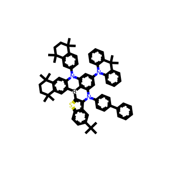 CC(C)(C)c1ccc2sc3c(c2c1)N(c1ccc(-c2ccccc2)cc1)c1cc(N2c4ccccc4C(C)(C)c4ccccc42)cc2c1B3c1cc3c(cc1N2c1ccc2c(c1)C(C)(C)CCC2(C)C)C(C)(C)CCC3(C)C